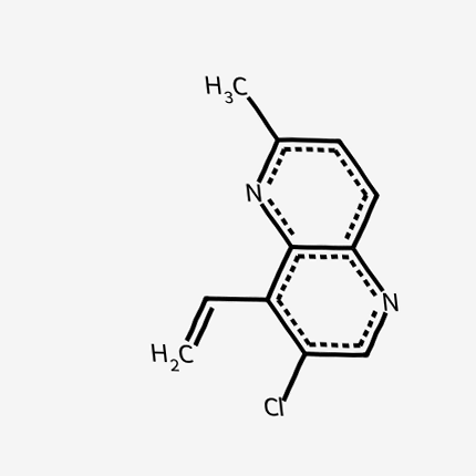 C=Cc1c(Cl)cnc2ccc(C)nc12